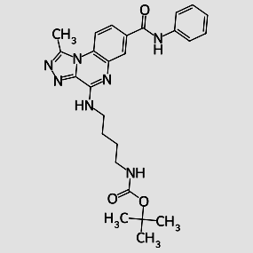 Cc1nnc2c(NCCCCNC(=O)OC(C)(C)C)nc3cc(C(=O)Nc4ccccc4)ccc3n12